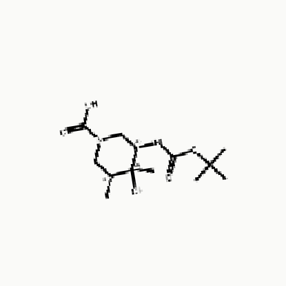 C[C@H]1CN(C(=O)O)C[C@@H](NC(=O)OC(C)(C)C)[C@]1(C)O